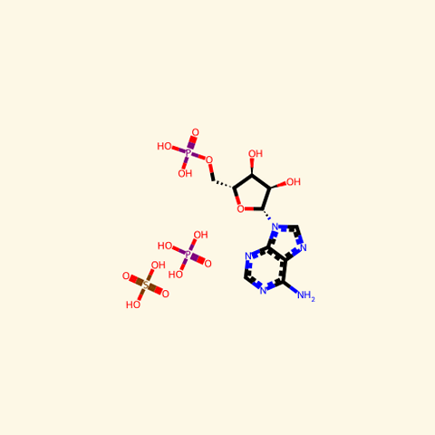 Nc1ncnc2c1ncn2[C@@H]1O[C@H](COP(=O)(O)O)[C@@H](O)[C@H]1O.O=P(O)(O)O.O=S(=O)(O)O